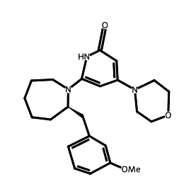 COc1cccc(C[C@H]2CCCCCN2c2cc(N3CCOCC3)cc(=O)[nH]2)c1